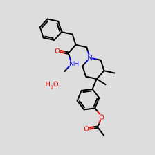 CNC(=O)C(Cc1ccccc1)CN1CCC(C)(c2cccc(OC(C)=O)c2)C(C)C1.O